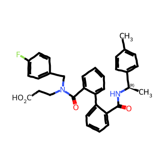 Cc1ccc([C@@H](C)NC(=O)c2ccccc2-c2ccccc2C(=O)N(CCC(=O)O)Cc2ccc(F)cc2)cc1